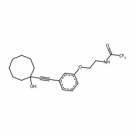 O=C(NCCOc1cccc(C#CC2(O)CCCCCCC2)c1)C(F)(F)F